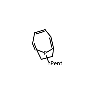 CCCCCP1C2=CC=CC=C1CC2